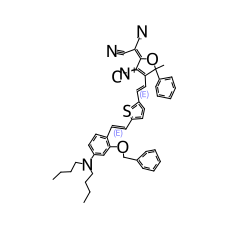 [C-]#[N+]C1=C(/C=C/c2ccc(/C=C/c3ccc(N(CCCC)CCCC)cc3OCc3ccccc3)s2)C(C)(c2ccccc2)OC1=C(C#N)C#N